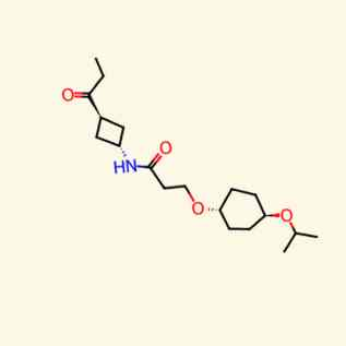 CCC(=O)[C@H]1C[C@H](NC(=O)CCO[C@H]2CC[C@H](OC(C)C)CC2)C1